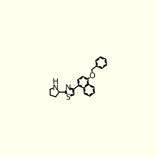 c1ccc(COc2ccc(-c3csc(C4CCCN4)n3)c3ccccc23)cc1